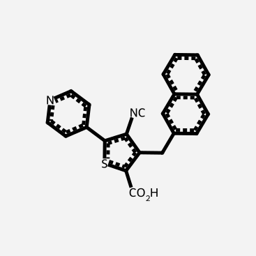 [C-]#[N+]c1c(-c2ccncc2)sc(C(=O)O)c1Cc1ccc2ccccc2c1